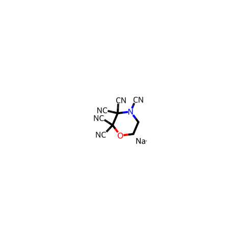 N#CN1CCOC(C#N)(C#N)C1(C#N)C#N.[Na]